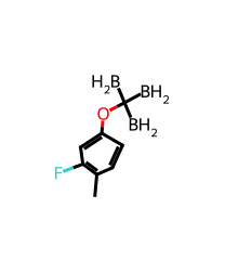 BC(B)(B)Oc1ccc(C)c(F)c1